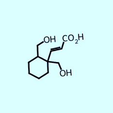 O=C(O)C=CC1(CO)CCCCC1CO